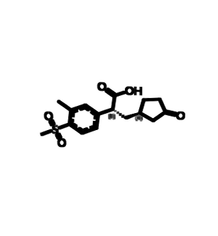 Cc1cc([C@@H](C[C@H]2CCC(=O)C2)C(=O)O)ccc1S(C)(=O)=O